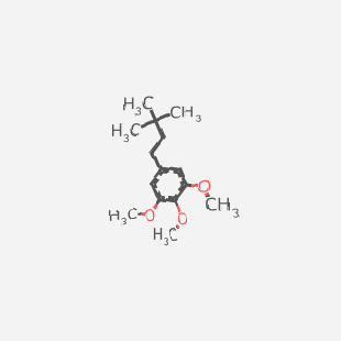 COc1cc(CCC(C)(C)C)cc(OC)c1OC